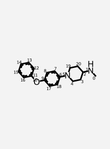 CNC1CCN(c2ccc(Oc3ccccc3)cc2)CC1